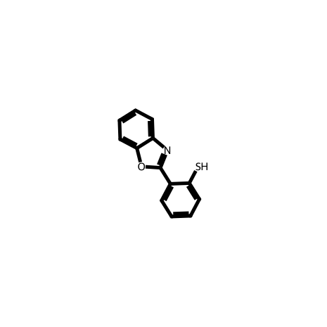 Sc1ccccc1-c1nc2ccccc2o1